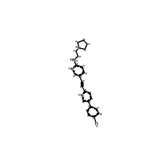 Clc1ccc(-c2ccc(C#Cc3ccc(NCCN4CCCC4)nc3)nc2)cc1